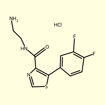 Cl.NCCNC(=O)c1ncsc1-c1ccc(F)c(F)c1